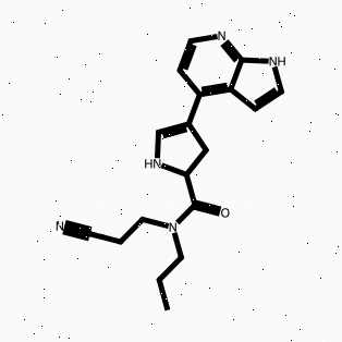 CCCN(CCC#N)C(=O)C1CC(c2ccnc3[nH]ccc23)=CN1